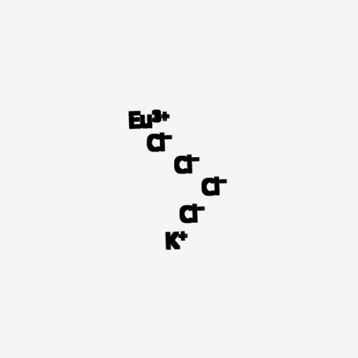 [Cl-].[Cl-].[Cl-].[Cl-].[Eu+3].[K+]